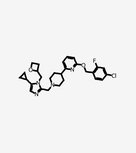 Fc1cc(Cl)ccc1COc1cccc(C2CCN(Cc3ncc(C4CC4)n3CC3CCO3)CC2)n1